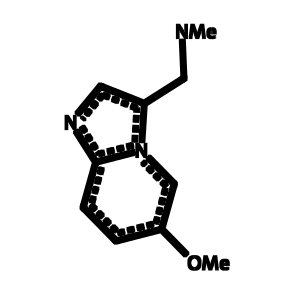 CNCc1cnc2ccc(OC)cn12